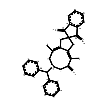 CC1=C2CC3(CC2=C(C)C(=O)CN(C(c2ccccc2)c2ccccc2)C1)C(=O)c1ccccc1C3=O